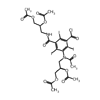 CC(=O)OCC(CNC(=O)c1c(I)c(C(=O)Cl)c(I)c(N(CC(COC(C)=O)OC(C)=O)C(C)=O)c1I)OC(C)=O